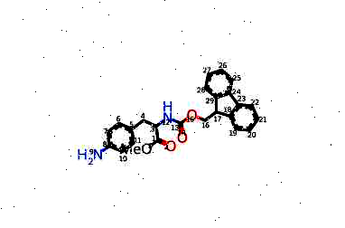 COC(=O)C(Cc1ccc(N)cc1)NC(=O)OCC1c2ccccc2-c2ccccc21